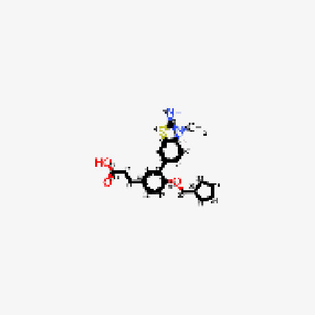 Cn1c(=N)sc2cc(-c3cc(CCC(=O)O)ccc3OCC3CCCC3)ccc21